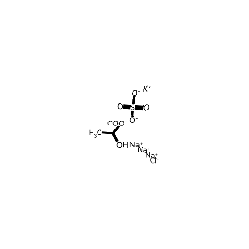 CC(O)C(=O)[O-].O=S(=O)([O-])[O-].[Cl-].[K+].[Na+].[Na+].[Na+]